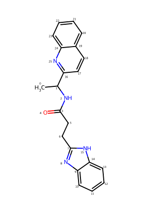 CC(NC(=O)CCc1nc2ccccc2[nH]1)c1ccc2ccccc2n1